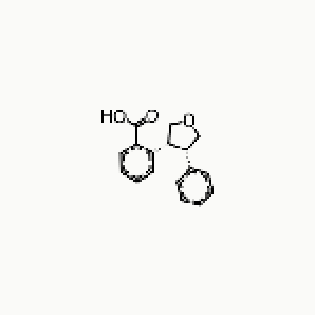 O=C(O)c1ccccc1[C@@H]1COC[C@@H]1c1ccccc1